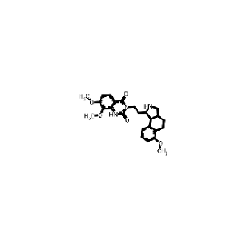 COc1cccc2c1CCC1CNC(CCn3c(=O)[nH]c4c(OC)c(OC)ccc4c3=O)C21